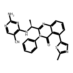 Cc1ncc(-c2cccc3nc([C@H](C)Nc4nc(N)ncc4C#N)n(-c4ccccc4)c(=O)c23)s1